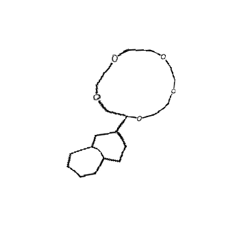 C1CCC2CC(C3COCCOCCOCCOCCO3)CCC2C1